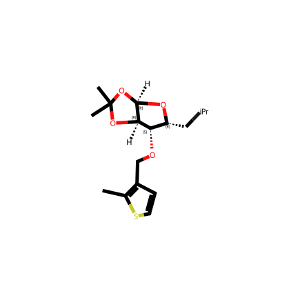 Cc1sccc1CO[C@@H]1[C@H]2OC(C)(C)O[C@H]2O[C@@H]1CC(C)C